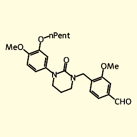 CCCCCOc1cc(N2CCCN(Cc3ccc(C=O)cc3OC)C2=O)ccc1OC